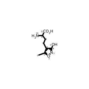 Cc1onc(O)c1CCC(N)C(=O)O